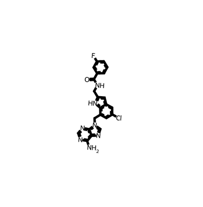 Nc1ncnc2c1ncn2Cc1cc(Cl)cc2cc(CNC(=O)c3cccc(F)c3)[nH]c12